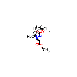 CCOC(=O)CCN(NC(=O)OC(C)(C)C)C(C)C